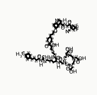 C/C(=N\CCCCC(NC(=O)CN1CCN(CC(=O)O)CCN(CC(=O)O)CCN(CC(=O)O)CC1)C(=O)NCCSC[C@@H](O)C(=O)N1CCC(CCCOc2ccc3nccc(C(=O)NCC(=O)N4CC(F)(F)C[C@@H]4C#N)c3c2)CC1)NC(=O)CCCc1ccc(C)cc1